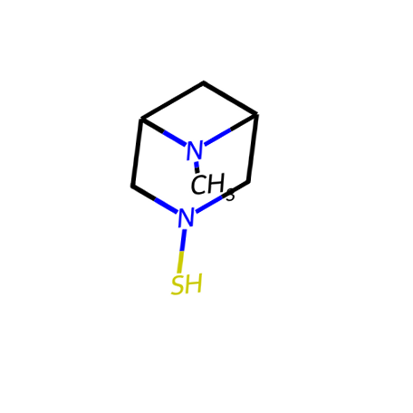 CN1C2CC1CN(S)C2